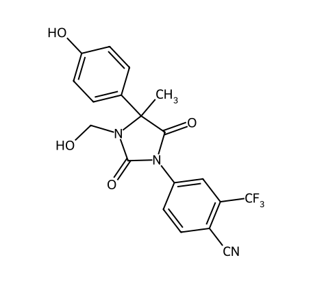 CC1(c2ccc(O)cc2)C(=O)N(c2ccc(C#N)c(C(F)(F)F)c2)C(=O)N1CO